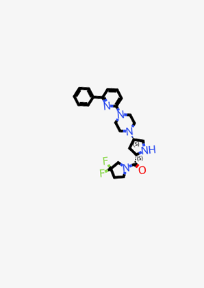 O=C([C@@H]1C[C@H](N2CCN(c3cccc(-c4ccccc4)n3)CC2)CN1)N1CCC(F)(F)C1